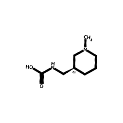 CN1CCC[C@@H](CNC(=O)O)C1